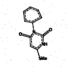 CSc1cc(=O)n(-c2ccccc2)c(=O)[nH]1